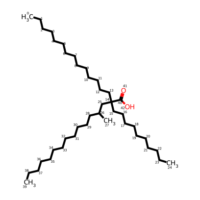 CCCCCCCCCCCCCCC(CCCCCCCCCC)(CC(C)CCCCCCCCCCCC)C(=O)O